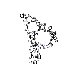 CCO[C@@]1(CN2CCN3CCOC[C@@H]3C2)/C=C/C[C@H](C)[C@@H](C)S(=O)(=O)NC(=O)c2ccc3c(c2)N(CCCCC2=CC(Cl)=CCC2CO3)C[C@@H]2CC[C@H]21